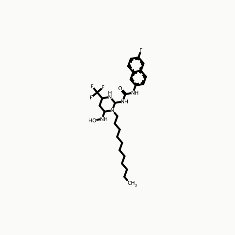 CCCCCCCCCCCN1C(NO)CC(C(F)(F)F)NC1NC(=O)Nc1ccc2cc(F)ccc2c1